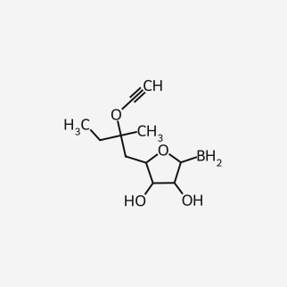 BC1OC(CC(C)(CC)OC#C)C(O)C1O